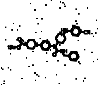 CC(C)(C)OC(=O)N1CCN(c2ccc(N(C(=O)NCc3ccccc3)C3CCC(Nc4ccc(C#N)cn4)CC3)cc2)CC1